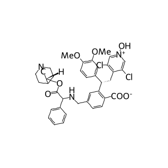 COc1ccc([C@H](Cc2c(Cl)c[n+](O)cc2Cl)c2cc(CNC(C(=O)O[C@H]3CN4CCC3CC4)c3ccccc3)ccc2C(=O)[O-])cc1OC